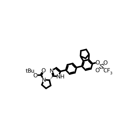 CC(C)(C)OC(=O)N1CCC[C@H]1c1ncc(-c2ccc(-c3ccc(OS(=O)(=O)C(F)(F)F)c4c3C3CCC4C3)cc2)[nH]1